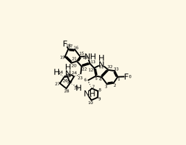 Fc1ccc2c(C[C@@H]3CCCN3)c(-c3[nH]c4cc(F)ccc4c3C[C@H]3N[C@@H]4CC[C@H]3C4)[nH]c2c1